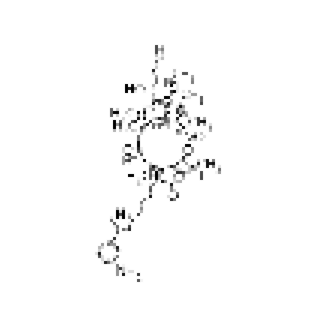 CCO[C@@H](O[C@@H]1[C@@H](C)C(=O)[C@@H](C)C(=O)O[C@H](CC)[C@@]2(C)OC(=O)N(CCCCn3cc(-c4cccc(N)c4)nn3)[C@@H]2[C@@H](C)N[C@H](C)C[C@@]1(C)OC)C(O)C(CC)N(C)C